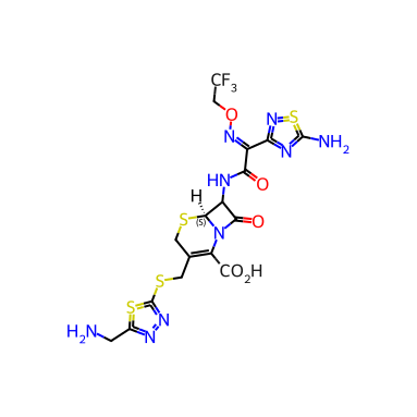 NCc1nnc(SCC2=C(C(=O)O)N3C(=O)C(NC(=O)C(=NOCC(F)(F)F)c4nsc(N)n4)[C@@H]3SC2)s1